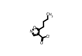 CCCCc1oncc1C(=O)Cl